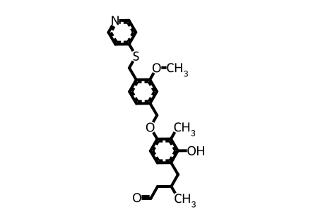 COc1cc(COc2ccc(CC(C)CC=O)c(O)c2C)ccc1CSc1ccncc1